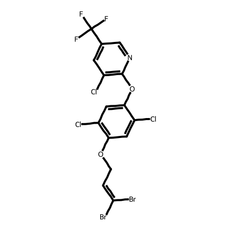 FC(F)(F)c1cnc(Oc2cc(Cl)c(OCC=C(Br)Br)cc2Cl)c(Cl)c1